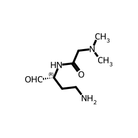 CN(C)CC(=O)N[C@@H](C=O)CCN